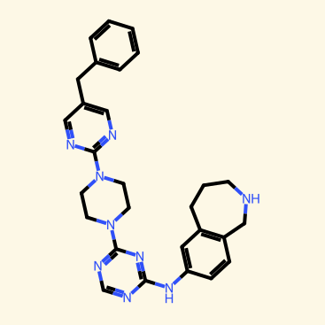 c1ccc(Cc2cnc(N3CCN(c4ncnc(Nc5ccc6c(c5)CCCNC6)n4)CC3)nc2)cc1